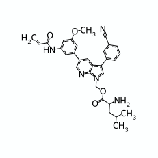 C=CC(=O)Nc1cc(OC)cc(-c2cnc3c(c2)c(-c2cccc(C#N)c2)cn3COC(=O)[C@@H](N)CC(C)C)c1